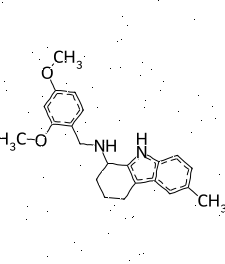 COc1ccc(CNC2CCCc3c2[nH]c2ccc(C)cc32)c(OC)c1